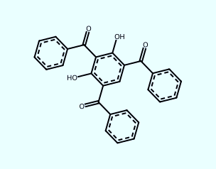 O=C(c1ccccc1)c1cc(C(=O)c2ccccc2)c(O)c(C(=O)c2ccccc2)c1O